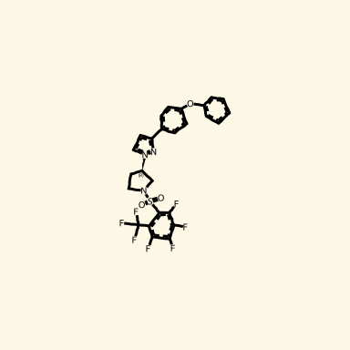 O=S(=O)(c1c(F)c(F)c(F)c(F)c1C(F)(F)F)N1CC[C@@H](n2ccc(-c3ccc(Oc4ccccc4)cc3)n2)C1